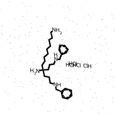 Cl.Cl.Cl.Cl.NCCCCCCCCCC(N)(CCCNCc1ccccc1)CCCNCc1ccccc1